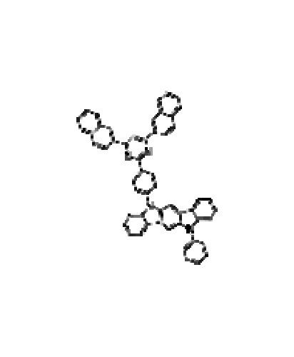 c1ccc(-n2c3ccccc3c3cc4c(cc32)c2ccccc2n4-c2ccc(-c3nc(-c4ccc5ccccc5c4)cc(-c4ccc5ccccc5c4)n3)cc2)cc1